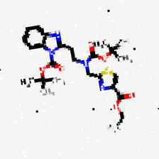 CCOC(=O)c1csc(CN(CCc2nc3ccccc3n2C(=O)OC(C)(C)C)C(=O)OC(C)(C)C)n1